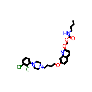 CCCCNC(=O)OCOc1ccc2ccc(OCCCCN3CCN(c4cccc(Cl)c4Cl)CC3)cc2n1